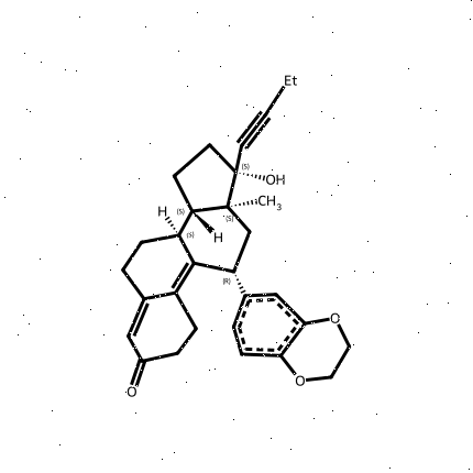 CCC#C[C@]1(O)CC[C@H]2[C@@H]3CCC4=CC(=O)CCC4=C3[C@@H](c3ccc4c(c3)OCCO4)C[C@@]21C